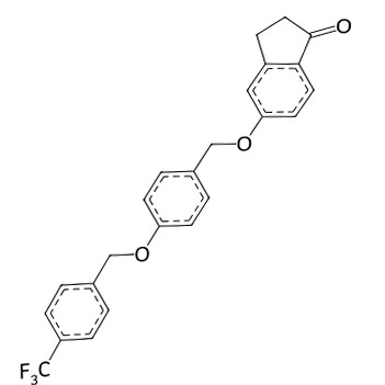 O=C1CCc2cc(OCc3ccc(OCc4ccc(C(F)(F)F)cc4)cc3)ccc21